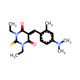 CCN1C(=O)C(=Cc2ccc(N(C)C)cc2C)C(=O)N(CC)C1=S